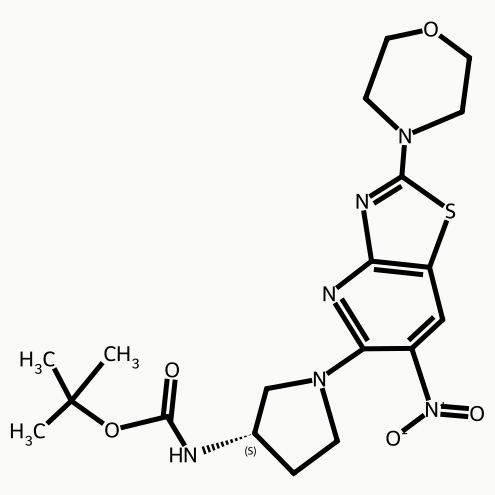 CC(C)(C)OC(=O)N[C@H]1CCN(c2nc3nc(N4CCOCC4)sc3cc2[N+](=O)[O-])C1